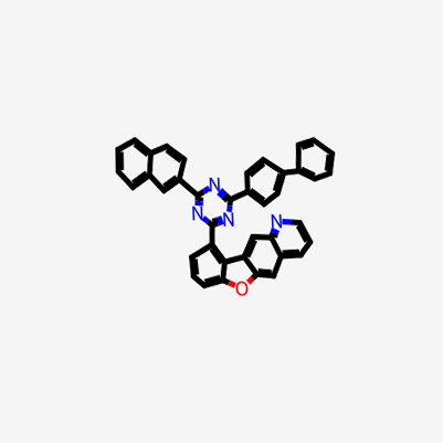 c1ccc(-c2ccc(-c3nc(-c4ccc5ccccc5c4)nc(-c4cccc5oc6cc7cccnc7cc6c45)n3)cc2)cc1